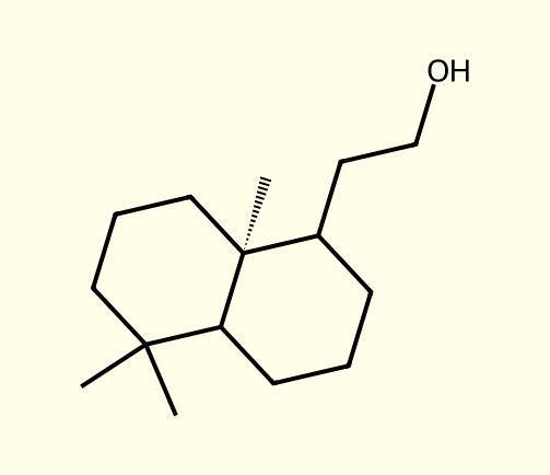 CC1(C)CCC[C@@]2(C)C(CCO)CCCC12